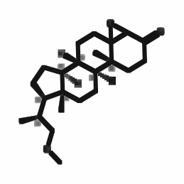 COC[C@@H](C)[C@H]1CC[C@H]2[C@@H]3CCC45OC4C(=O)CC[C@]5(C)[C@H]3CC[C@]12C